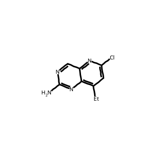 CCc1cc(Cl)nc2cnc(N)nc12